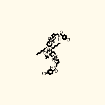 CCCCCCN(C1CCN(S(=O)(=O)c2ccc(CNC(=O)c3ccc(Cl)cc3)s2)CC1)C(C(=O)OC(C)(C)C)N(CCCCCC)C1CCN(S(=O)(=O)c2ccc(CNC(=O)c3ccc(Cl)cc3)s2)CC1